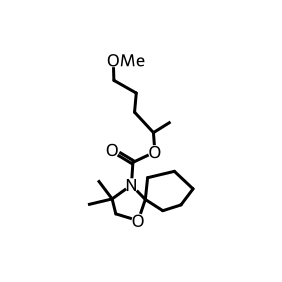 COCCCC(C)OC(=O)N1C(C)(C)COC12CCCCC2